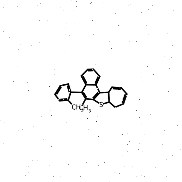 Cc1ccccc1-c1c(C)c2c(c3ccccc13)C1C=CC=CCC1S2